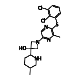 Cc1nc(N2CC(O)(C3CCC(C)CN3)C2)cnc1Sc1cccc(Cl)c1Cl